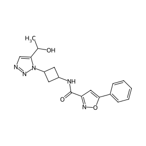 CC(O)c1cnnn1C1CC(NC(=O)c2cc(-c3ccccc3)on2)C1